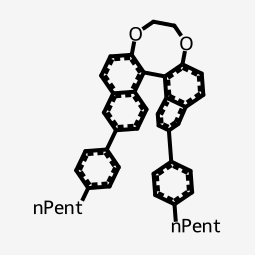 CCCCCc1ccc(-c2ccc3c4c(ccc3c2)OCCOc2ccc3cc(-c5ccc(CCCCC)cc5)ccc3c2-4)cc1